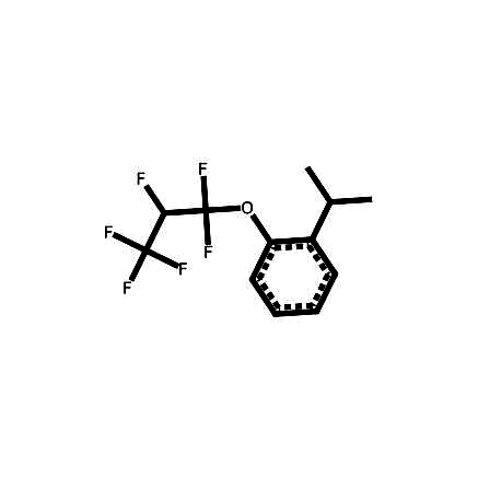 CC(C)c1ccccc1OC(F)(F)C(F)C(F)(F)F